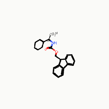 O=C(N[C@H](C(=O)O)C1CCCCC1)OCC1c2ccccc2-c2ccccc21